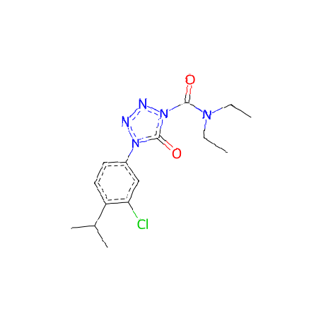 CCN(CC)C(=O)n1nnn(-c2ccc(C(C)C)c(Cl)c2)c1=O